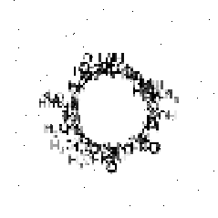 CCCC[C@H]1C(=O)N(C)[C@@H](CCCC)C(=O)N[C@@H](CC(C)C)C(=O)N[C@H](C(=O)NCC(=O)NC2CC2)CSCC(=O)N[C@@H](Cc2ccc(O)cc2)C(=O)N(C)[C@@H](C)C(=O)N[C@@H](CC(N)=O)C(=O)N2CCC[C@H]2C(=O)N[C@@H](CN)C(=O)N[C@@H](CC(C)C)C(=O)N2C[C@H](O)C[C@H]2C(=O)N[C@@H](Cc2c[nH]c3ccccc23)C(=O)NCC(=O)NC(Cc2c[nH]c3ccccc23)C(=O)N1C